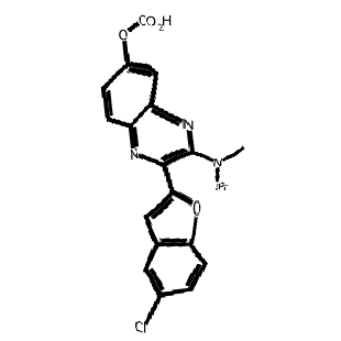 CC(C)N(C)c1nc2cc(OC(=O)O)ccc2nc1-c1cc2cc(Cl)ccc2o1